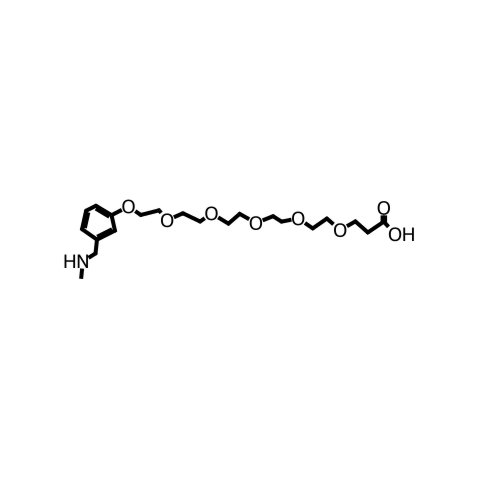 CNCc1cccc(OCCOCCOCCOCCOCCOCCC(=O)O)c1